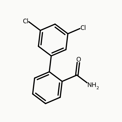 NC(=O)c1ccccc1-c1cc(Cl)cc(Cl)c1